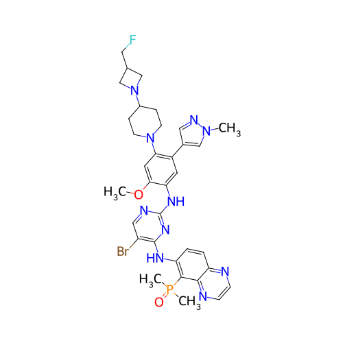 COc1cc(N2CCC(N3CC(CF)C3)CC2)c(-c2cnn(C)c2)cc1Nc1ncc(Br)c(Nc2ccc3nccnc3c2P(C)(C)=O)n1